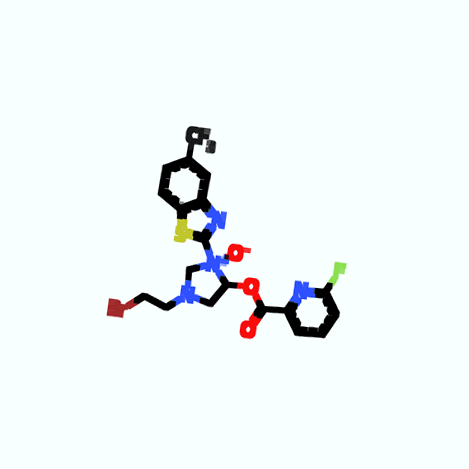 O=C(OC1CN(CCBr)C[N+]1([O-])c1nc2cc(C(F)(F)F)ccc2s1)c1cccc(F)n1